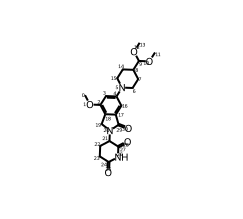 COc1cc(N2CCC(C(OC)OC)CC2)cc2c1CN(C1CCC(=O)NC1=O)C2=O